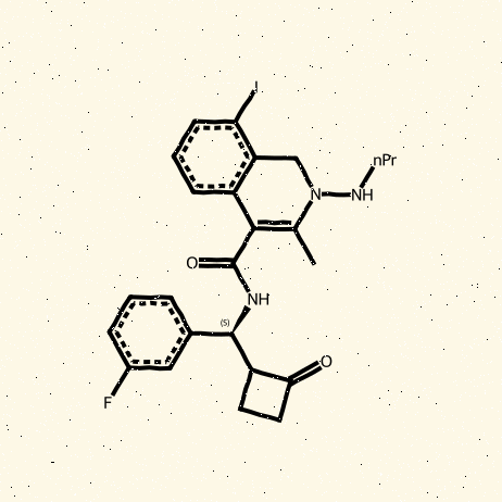 CCCNN1Cc2c(I)cccc2C(C(=O)N[C@H](c2cccc(F)c2)C2CCC2=O)=C1C